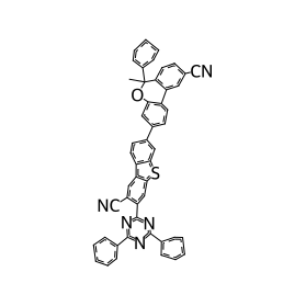 CC1(c2ccccc2)Oc2cc(-c3ccc4c(c3)sc3cc(-c5nc(-c6ccccc6)nc(-c6ccccc6)n5)c(C#N)cc34)ccc2-c2cc(C#N)ccc21